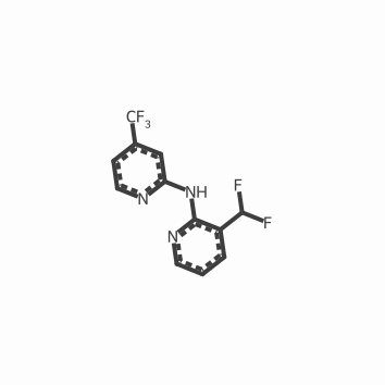 FC(F)c1cccnc1Nc1cc(C(F)(F)F)ccn1